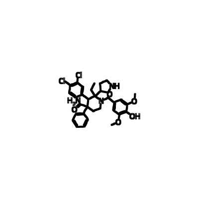 CCC1(C2CCNC2)C(c2ccc(Cl)c(Cl)c2)C(C(N)=O)(c2ccccc2)CCN1C(=O)c1cc(OC)c(O)c(OC)c1